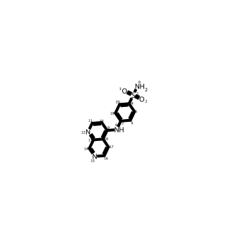 NS(=O)(=O)c1ccc(Nc2ccnc3cnccc23)cc1